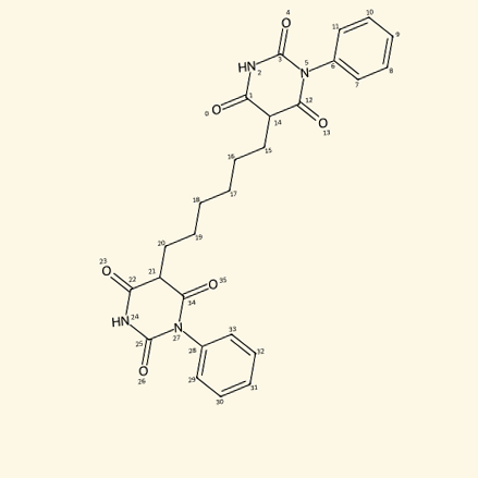 O=C1NC(=O)N(c2ccccc2)C(=O)C1CCCCCCC1C(=O)NC(=O)N(c2ccccc2)C1=O